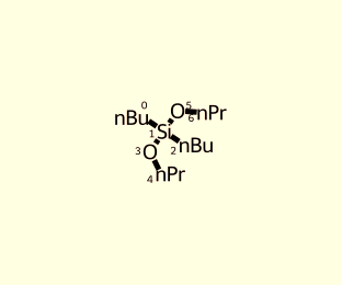 CCCC[Si](CCCC)(OCCC)OCCC